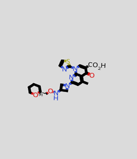 Cc1cc(N2CC(NOC[C@H]3CCCCO3)C2)nc2c1c(=O)c(C(=O)O)cn2-c1nccs1